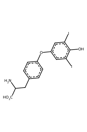 NC(Cc1ccc(Oc2cc(I)c(O)c(I)c2)cc1)C(=O)O